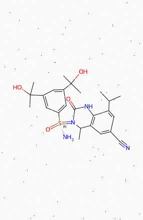 CC(C)c1cc(C#N)cc(C(C)C)c1NC(=O)N=[S@@](N)(=O)c1cc(C(C)(C)O)cc(C(C)(C)O)c1